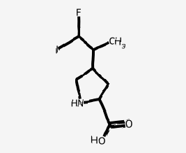 CC(C(F)I)C1CNC(C(=O)O)C1